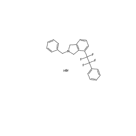 Br.FC(F)(c1ccccc1)C(F)(F)c1cccc2c1CN(Cc1ccccc1)C2